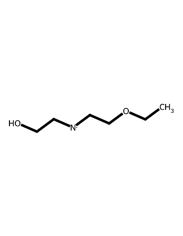 CCOCC[N]CCO